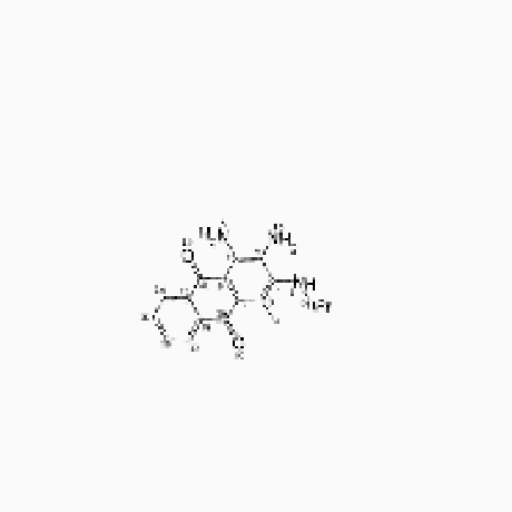 CCCNc1c(C)c2c(c(N)c1N)C(=O)c1ccccc1C2=O